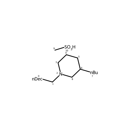 CCCCCCCCCCCN1CCCC(CCCC)C1.CS(=O)(=O)O